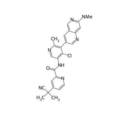 CNc1cc2ncc(-c3c(C)ncc(NC(=O)c4cc(C(C)(C)C#N)ccn4)c3Cl)cc2cn1